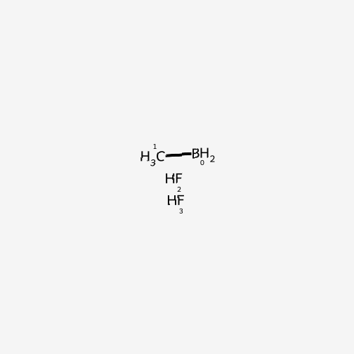 BC.F.F